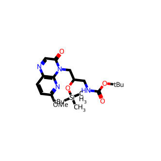 COc1ccc2ncc(=O)n(CC(CNC(=O)OC(C)(C)C)O[Si](C)(C)C(C)(C)C)c2n1